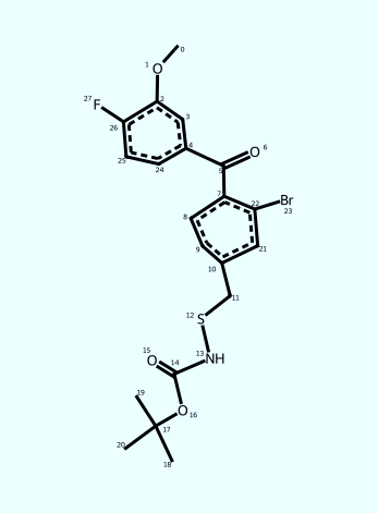 COc1cc(C(=O)c2ccc(CSNC(=O)OC(C)(C)C)cc2Br)ccc1F